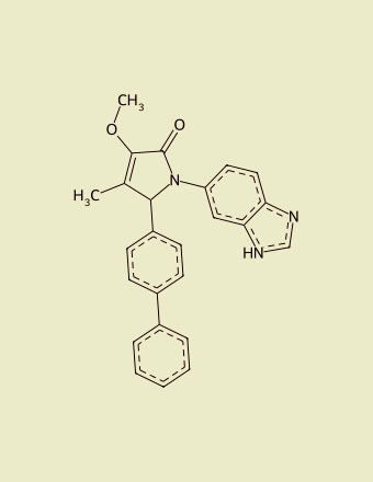 COC1=C(C)C(c2ccc(-c3ccccc3)cc2)N(c2ccc3nc[nH]c3c2)C1=O